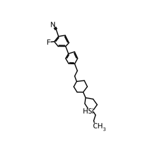 CCC[SiH]1CCC(C2CCC(CCc3ccc(-c4ccc(C#N)c(F)c4)cc3)CC2)CC1